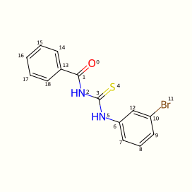 O=C(NC(=S)Nc1cccc(Br)c1)c1ccccc1